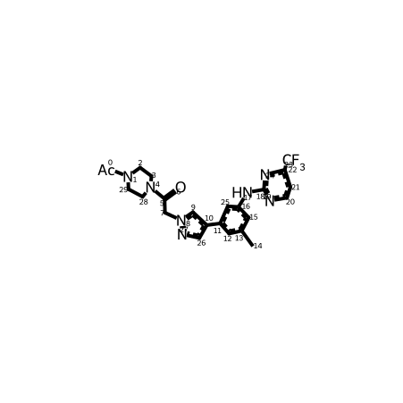 CC(=O)N1CCN(C(=O)Cn2cc(-c3cc(C)cc(Nc4nccc(C(F)(F)F)n4)c3)cn2)CC1